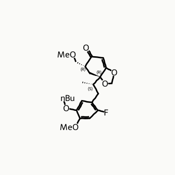 CCCCOc1cc(C[C@H](C)[C@]23C[C@H](COC)C(=O)C=C2OCO3)c(F)cc1OC